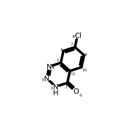 O=c1[nH]nnc2cc(Cl)ccc12